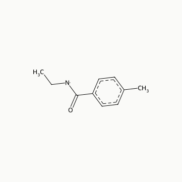 CC[N]C(=O)c1ccc(C)cc1